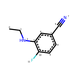 CCNc1cc(C#N)ccc1F